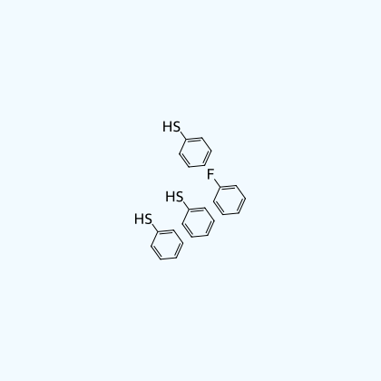 Fc1ccccc1.Sc1ccccc1.Sc1ccccc1.Sc1ccccc1